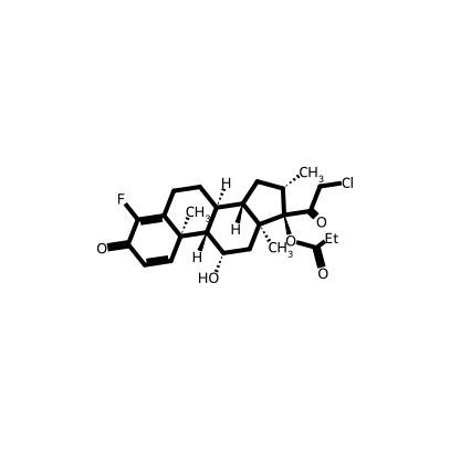 CCC(=O)O[C@]1(C(=O)CCl)[C@@H](C)C[C@H]2[C@@H]3CCC4=C(F)C(=O)C=C[C@]4(C)[C@H]3[C@@H](O)C[C@@]21C